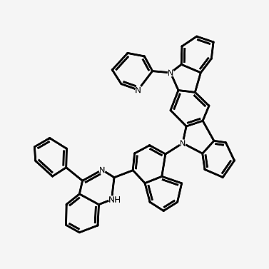 c1ccc(C2=NC(c3ccc(-n4c5ccccc5c5cc6c7ccccc7n(-c7ccccn7)c6cc54)c4ccccc34)Nc3ccccc32)cc1